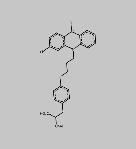 COC(Cc1ccc(OCCCN2c3ccccc3[S+]([O-])c3ccc(Cl)cc32)cc1)C(=O)O